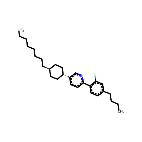 CCCCCCCC[C@H]1CC[C@H](c2ccc(-c3ccc(CCCC)cc3F)nc2)CC1